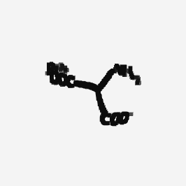 NC(C(=O)[O-])C(=O)[O-].[Pt+2]